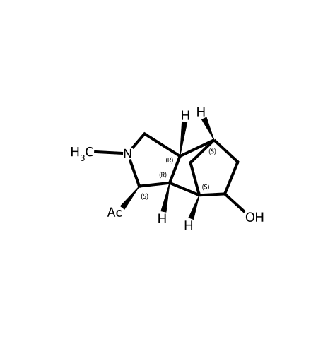 CC(=O)[C@@H]1[C@@H]2[C@H](CN1C)[C@@H]1CC(O)[C@H]2C1